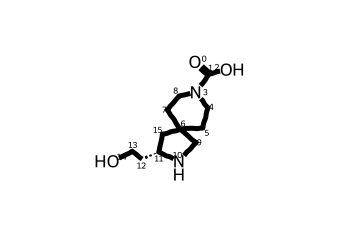 O=C(O)N1CCC2(CC1)CN[C@H](CCO)C2